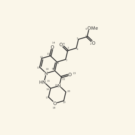 COC(=O)CCC(=O)Cc1c2n(ccc1=O)NC1COCCN1C2=O